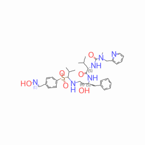 CC(C)C(NC[C@@H](O)[C@H](Cc1ccccc1)NC(=O)[C@@H](NC(=O)N(C)Cc1ccccn1)C(C)C)S(=O)(=O)c1ccc(/C=N/O)cc1